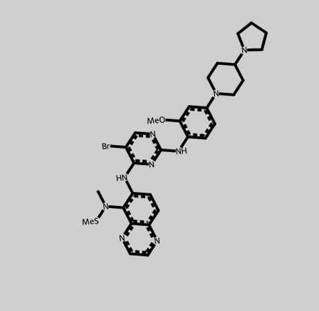 COc1cc(N2CCC(N3CCCC3)CC2)ccc1Nc1ncc(Br)c(Nc2ccc3nccnc3c2N(C)SC)n1